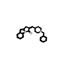 O=C1C(=CC2CCN(Cc3ccccc3)CC2)Cc2cc3ccccc3n21